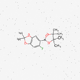 [2H]C1([2H])Oc2cc(F)c(B3OC(C)(C)C(C)(C)O3)cc2O1